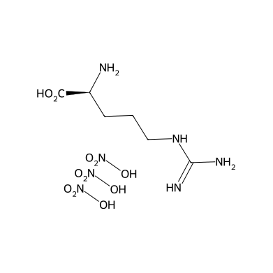 N=C(N)NCCC[C@H](N)C(=O)O.O=[N+]([O-])O.O=[N+]([O-])O.O=[N+]([O-])O